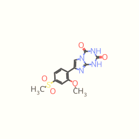 COc1cc(S(C)(=O)=O)ccc1-c1cn2c(=O)[nH]c(=O)[nH]c2n1